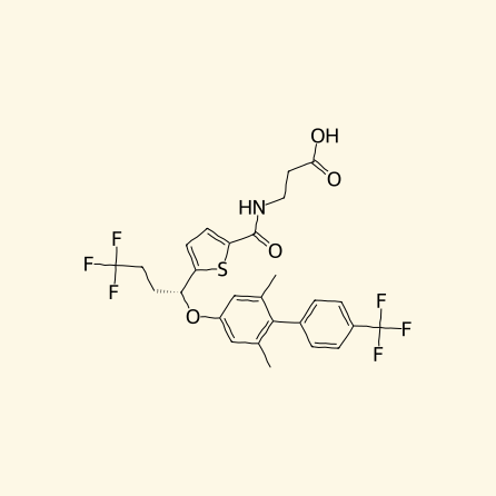 Cc1cc(O[C@H](CCC(F)(F)F)c2ccc(C(=O)NCCC(=O)O)s2)cc(C)c1-c1ccc(C(F)(F)F)cc1